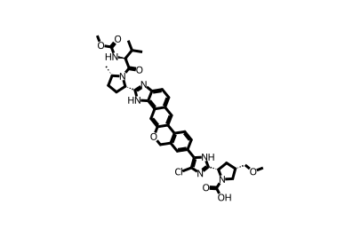 COC[C@H]1C[C@@H](c2nc(Cl)c(-c3ccc4c(c3)COc3cc5c(ccc6nc([C@@H]7CC[C@H](C)N7C(=O)[C@@H](NC(=O)OC)C(C)C)[nH]c65)cc3-4)[nH]2)N(C(=O)O)C1